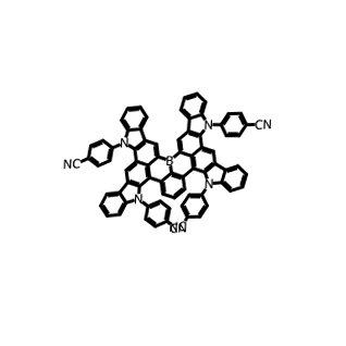 N#Cc1ccc(-n2c3ccccc3c3cc4c5c(cc6c7ccccc7n(-c7ccc(C#N)cc7)c46)B4c6c(cccc6-c6c7c4cc4c8ccccc8n(-c8ccc(C#N)cc8)c4c7cc4c7ccccc7n(-c7ccc(C#N)cc7)c64)-c5c32)cc1